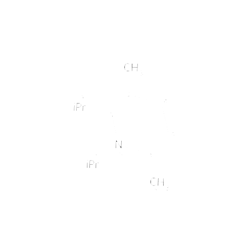 CC(C)[C@@H]1[C@H](C)CC[C@H](C)N1C(C)C